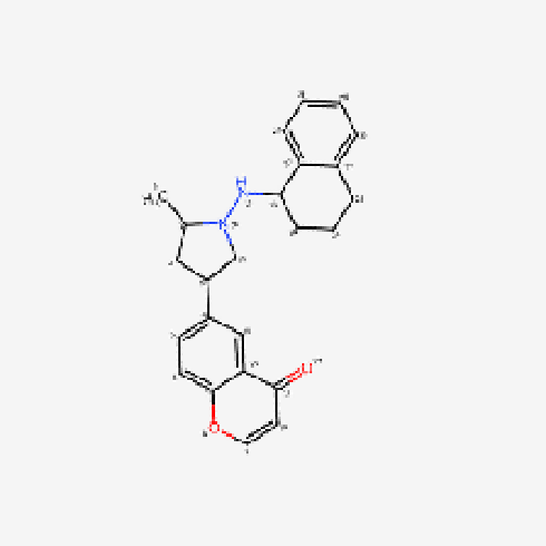 CC1CC(c2ccc3occc(=O)c3c2)CN1NC1CCCc2ccccc21